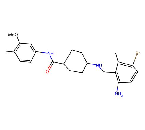 COc1cc(NC(=O)C2CCC(NCc3c(N)ccc(Br)c3C)CC2)ccc1C